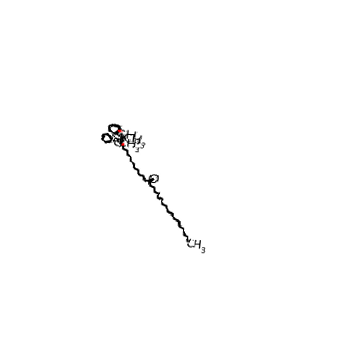 CCCCCC=CCC=CCCCCCCCCC(=O)CCCCCCCCCCCCO[Si](c1ccccc1)(c1ccccc1)C(C)(C)C